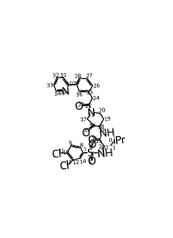 CC(C)C[C@H](NS(=O)(=O)c1ccc(Cl)c(Cl)c1)C(=O)NC1CCN(C(=O)Cc2cccc(-c3ccccn3)c2)CC1=O